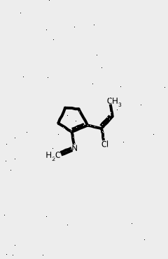 C=NC1=C(/C(Cl)=C\C)CCC1